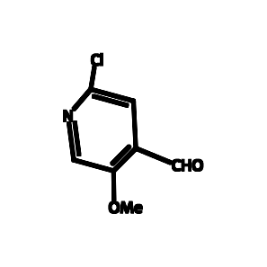 COc1cnc(Cl)cc1C=O